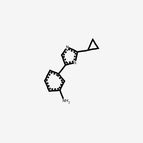 Nc1cccc(-c2cnc(C3CC3)s2)c1